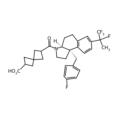 CC(F)(c1ccc2c(c1)CC[C@@H]1N(C(=O)C3CC4(CC(C(=O)O)C4)C3)CC[C@]21Cc1ccc(F)cc1)C(F)(F)F